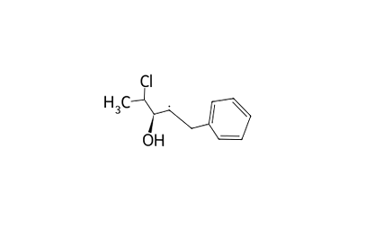 CC(Cl)[C@H](O)[CH]Cc1ccccc1